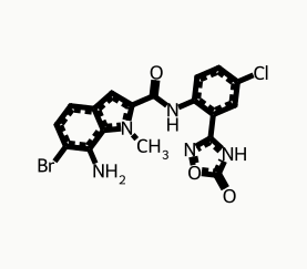 Cn1c(C(=O)Nc2ccc(Cl)cc2-c2noc(=O)[nH]2)cc2ccc(Br)c(N)c21